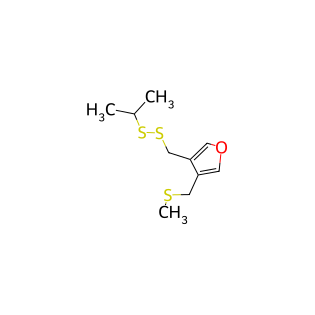 CSCc1cocc1CSSC(C)C